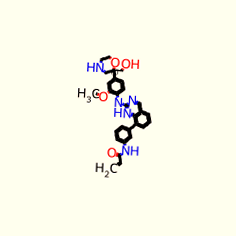 C=CC(=O)Nc1cccc(-c2cccc3cnc(Nc4ccc([C@]5(CO)CNCCO5)cc4OC)nc23)c1